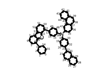 c1ccc(-c2cccc3c2oc2c(-c4ccc(N(c5ccc(-c6ccc7ccccc7c6)cc5)c5ccc6ccc7ccccc7c6c5)cc4)cccc23)cc1